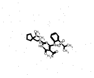 CC(C)S(=O)(=O)c1ccccc1Nc1nc(NCC2(N(C)C)CCCC2)[nH]c(=O)c1C(N)=O